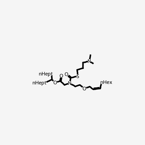 CCCCCC/C=C\COCCN(CC(=O)OC(CCCCCCC)CCCCCCC)C(=O)SCCCN(C)C